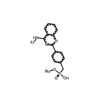 CCNc1nc(-c2ccc(CP(=O)(O)OC(C)CC)cc2)nc2ccccc12